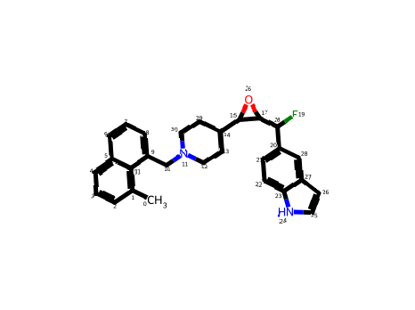 Cc1cccc2cccc(CN3CCC(C4OC4C(F)c4ccc5[nH]ccc5c4)CC3)c12